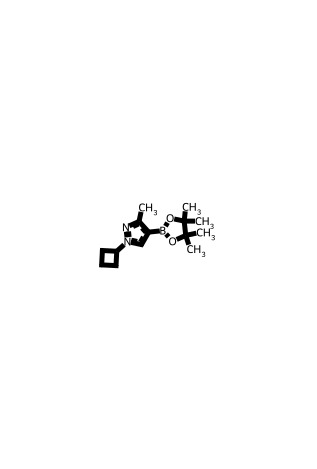 Cc1nn(C2CCC2)cc1B1OC(C)(C)C(C)(C)O1